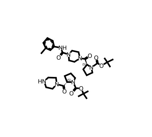 CC(C)(C)OC(=O)N1CCC[C@H]1C(=O)N1CCNCC1.Cc1cccc(NC(=O)N2CCN(C(=O)[C@@H]3CCCN3C(=O)OC(C)(C)C)CC2)c1